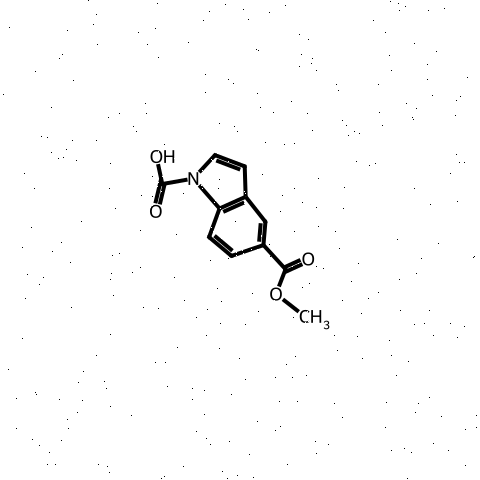 COC(=O)c1ccc2c(ccn2C(=O)O)c1